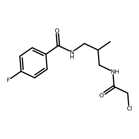 CC(CNC(=O)CCl)CNC(=O)c1ccc(F)cc1